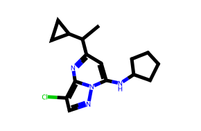 CC(c1cc(NC2CCCC2)n2ncc(Cl)c2n1)C1CC1